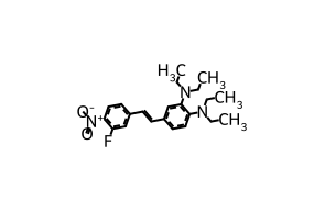 CCN(CC)c1ccc(C=Cc2ccc([N+](=O)[O-])c(F)c2)cc1N(CC)CC